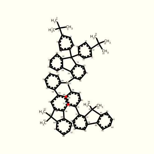 CC(C)(C)c1ccc(C2(c3ccc(C(C)(C)C)cc3)c3ccccc3-c3c(N(c4ccc(-c5cccc6c5C(C)(C)c5ccccc5-6)cc4)c4ccccc4-c4ccc5c(c4)C(C)(C)c4ccccc4-5)cccc32)cc1